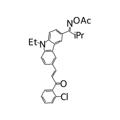 CCn1c2ccc(C=CC(=O)c3ccccc3Cl)cc2c2cc(C(=NOC(C)=O)C(C)C)ccc21